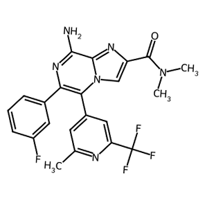 Cc1cc(-c2c(-c3cccc(F)c3)nc(N)c3nc(C(=O)N(C)C)cn23)cc(C(F)(F)F)n1